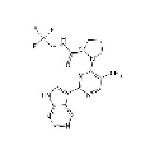 Cc1cnc(-c2c[nH]c3ncncc23)nc1N1CCC[C@@H]1C(=O)NCC(F)(F)F